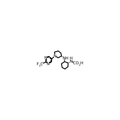 O=C(O)N[C@@H]1CCCC[C@H]1N[C@H]1CCCN(c2cnc(C(F)(F)F)nc2)C1